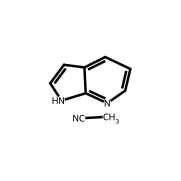 CC#N.c1cnc2[nH]ccc2c1